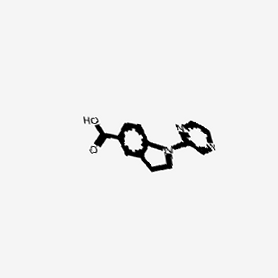 O=C(O)c1ccc2c(c1)CCN2c1cnccn1